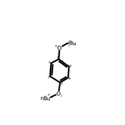 CCCCOc1ccc(OC(C)CC)cc1